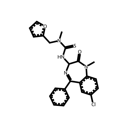 CN(Cc1ccco1)C(=S)NC1N=C(c2ccccc2)c2cc(Cl)ccc2N(C)C1=O